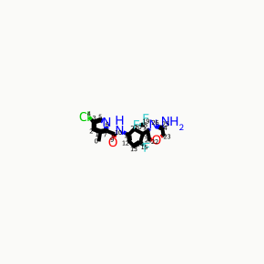 Cc1cc(Cl)cnc1C(=O)NC1=CC=C(F)C([C@]2(C(F)F)COCC(N)=N2)C1